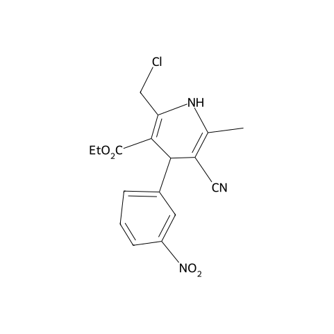 CCOC(=O)C1=C(CCl)NC(C)=C(C#N)C1c1cccc([N+](=O)[O-])c1